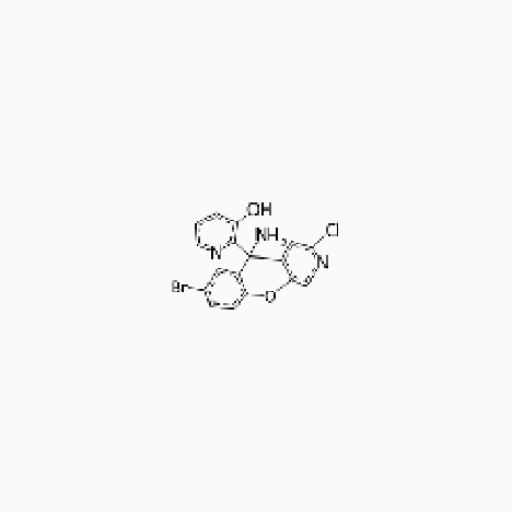 NC1(c2ncccc2O)c2cc(Br)ccc2Oc2cnc(Cl)cc21